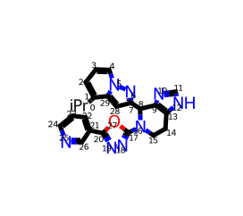 CC(C)c1cccn2nc(C3c4nc[nH]c4CCN3c3nnc(-c4cccnc4)o3)cc12